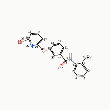 CC(C)c1ccccc1NC(=O)c1cccc(Oc2cccc(Br)n2)c1